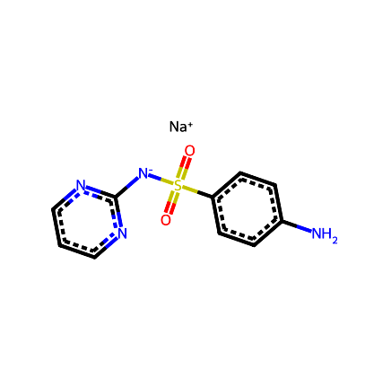 Nc1ccc(S(=O)(=O)[N-]c2ncccn2)cc1.[Na+]